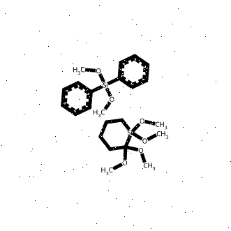 COC1(OC)CCCC[Si]1(OC)OC.CO[Si](OC)(c1ccccc1)c1ccccc1